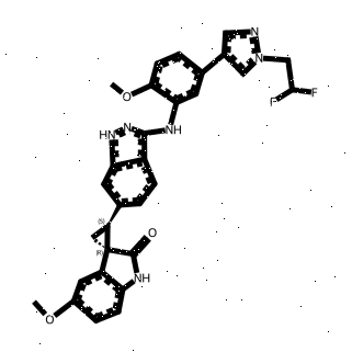 COc1ccc2c(c1)[C@]1(C[C@H]1c1ccc3c(Nc4cc(-c5cnn(CC(F)F)c5)ccc4OC)n[nH]c3c1)C(=O)N2